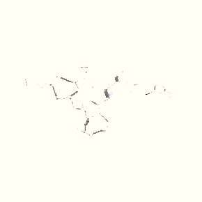 CCOCCOC(=O)/C(C#N)=C/c1cn(Cc2cc(C(F)(F)F)cc(C(F)(F)F)c2)c2ncccc12